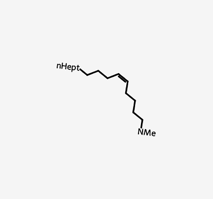 CCCCCCCCCC/C=C\CCCCNC